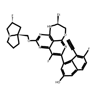 C#Cc1c(F)ccc2cc(O)cc(-c3nc4c5c(nc(OC[C@@]67CCCN6C[C@H](F)C7)nc5c3F)N[C@@H](CC)CO4)c12